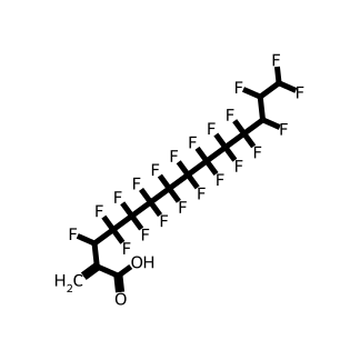 C=C(C(=O)O)C(F)C(F)(F)C(F)(F)C(F)(F)C(F)(F)C(F)(F)C(F)(F)C(F)(F)C(F)(F)C(F)C(F)C(F)F